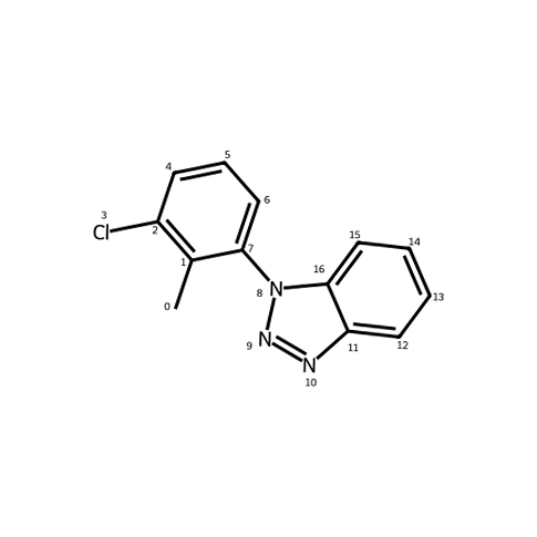 Cc1c(Cl)cccc1-n1nnc2ccccc21